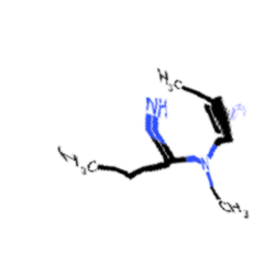 C/C=C\N(C)C(=N)CC